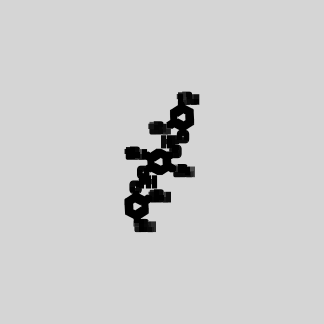 CC(C)(C)c1ccc(OPOc2cc(C(C)(C)C)c(OPOc3ccc(C(C)(C)C)cc3C(C)(C)C)cc2C(C)(C)C)c(C(C)(C)C)c1